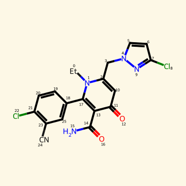 CCn1c(Cn2ccc(Cl)n2)cc(=O)c(C(N)=O)c1-c1ccc(Cl)c(C#N)c1